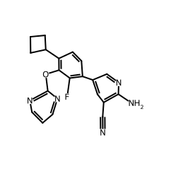 N#Cc1cc(-c2ccc(C3CCC3)c(Oc3ncccn3)c2F)cnc1N